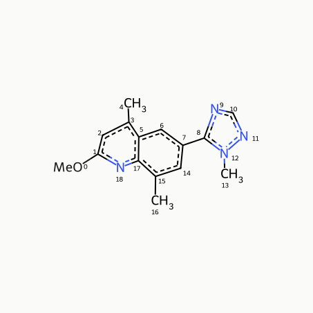 COc1cc(C)c2cc(-c3ncnn3C)cc(C)c2n1